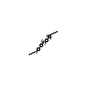 CCCCCCSc1ccc(-c2ccc(C(=O)Oc3ccc(-c4ncc(CCCCCC)cn4)cc3)cc2)cc1